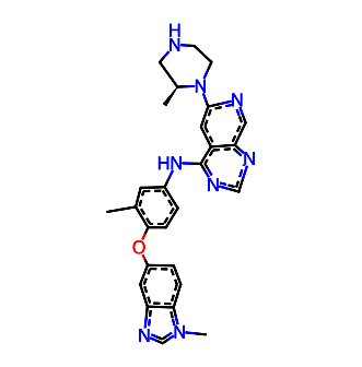 Cc1cc(Nc2ncnc3cnc(N4CCNC[C@@H]4C)cc23)ccc1Oc1ccc2c(c1)ncn2C